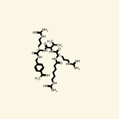 CC(=N)c1ccc(CNC(=O)[C@H](CCCNC(=N)N)NC(=O)C(NC(=O)[C@H](CCCNC(=N)N)NC(=O)CCCCCNC(=N)N)C(C)C)cc1